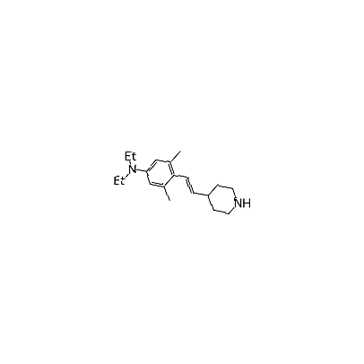 CCN(CC)c1cc(C)c(/C=C/C2CCNCC2)c(C)c1